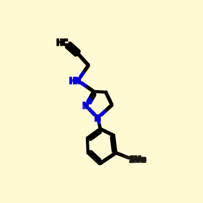 C#CCNC1=NN(c2cccc(SC)c2)CC1